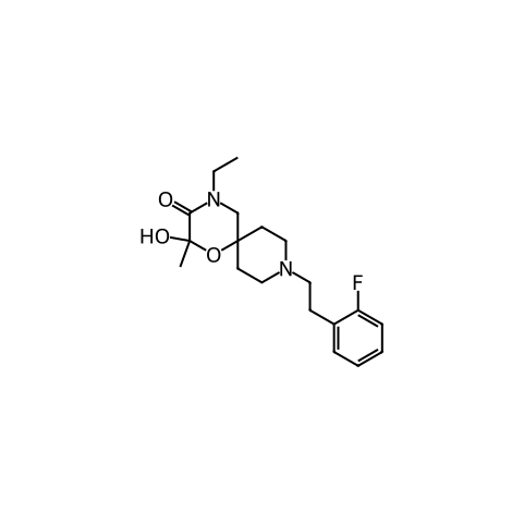 CCN1CC2(CCN(CCc3ccccc3F)CC2)OC(C)(O)C1=O